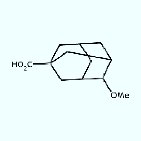 COC1C2CC3CC1CC(C(=O)O)(C3)C2